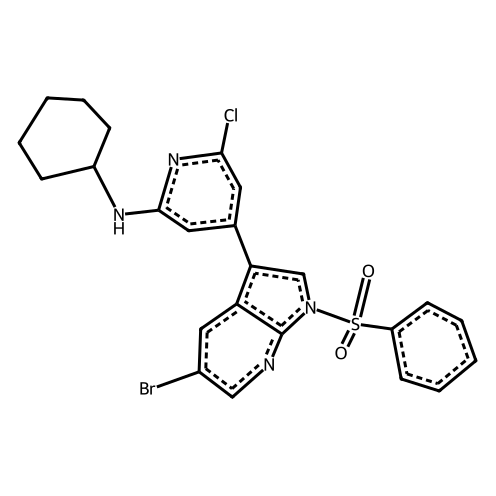 O=S(=O)(c1ccccc1)n1cc(-c2cc(Cl)nc(NC3CCCCC3)c2)c2cc(Br)cnc21